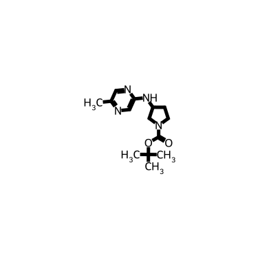 Cc1cnc(NC2CCN(C(=O)OC(C)(C)C)C2)cn1